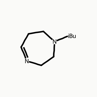 CCC(C)N1CCC=NCC1